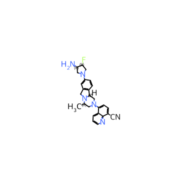 C[C@@H]1CN(c2ccc(C#N)c3ncccc23)C[C@@H]2c3ccc(N4C[C@@H](N)[C@H](F)C4)cc3CN12